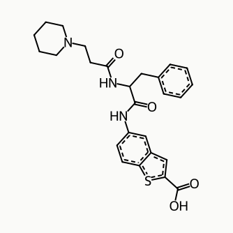 O=C(CCN1CCCCC1)NC(Cc1ccccc1)C(=O)Nc1ccc2sc(C(=O)O)cc2c1